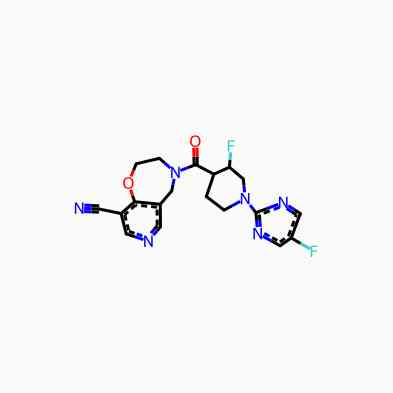 N#Cc1cncc2c1OCCN(C(=O)C1CCN(c3ncc(F)cn3)CC1F)C2